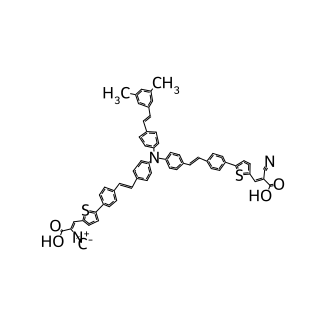 [C-]#[N+]/C(=C\c1ccc(-c2ccc(/C=C/c3ccc(N(c4ccc(/C=C/c5ccc(-c6ccc(/C=C(\C#N)C(=O)O)s6)cc5)cc4)c4ccc(/C=C/c5cc(C)cc(C)c5)cc4)cc3)cc2)s1)C(=O)O